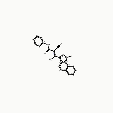 Cn1nc(/C(O)=C(\C#N)C(=O)Nc2ccccc2)c2cnc3ccccc3c21